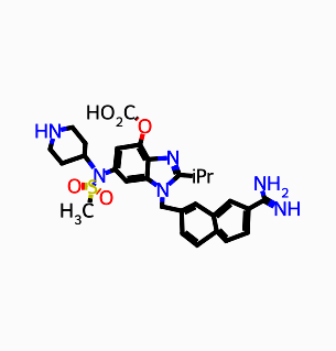 CC(C)c1nc2c(OC(=O)O)cc(N(C3CCNCC3)S(C)(=O)=O)cc2n1Cc1ccc2ccc(C(=N)N)cc2c1